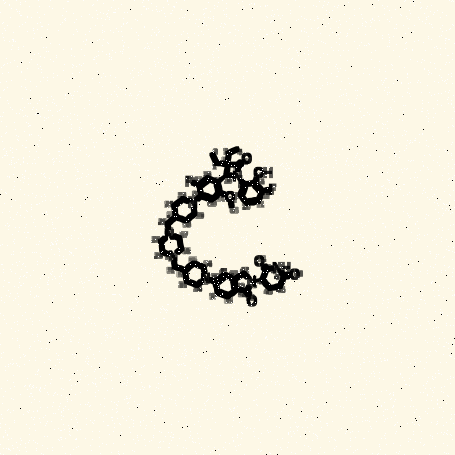 CCC1(CC)C(=O)N(c2cccc(F)c2O)[C@H]1c1cc(F)c(N2CCC(CN3CCN(CC4CCN(c5ccc6c(c5)CN([C@H]5CCC(=O)NC5=O)C6=O)CC4)CC3)CC2)cc1OC